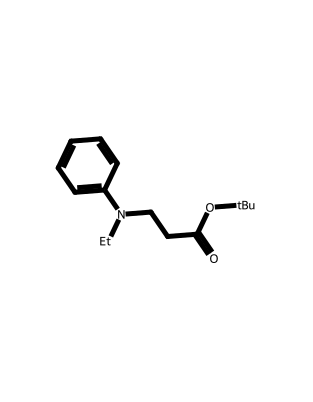 CCN(CCC(=O)OC(C)(C)C)c1ccccc1